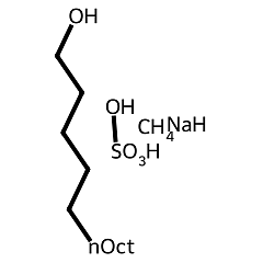 C.CCCCCCCCCCCCCO.O=S(=O)(O)O.[NaH]